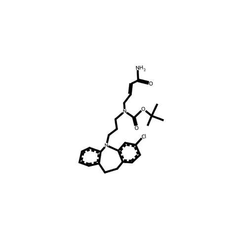 CC(C)(C)OC(=O)N(C/C=C/C(N)=O)CCCN1c2ccccc2CCc2ccc(Cl)cc21